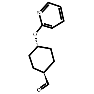 O=C[C@H]1CC[C@H](Oc2ccccn2)CC1